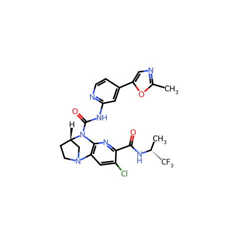 Cc1ncc(-c2ccnc(NC(=O)N3c4nc(C(=O)N[C@H](C)C(F)(F)F)c(Cl)cc4N4CC[C@H]3C4)c2)o1